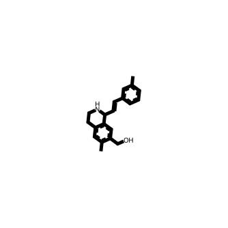 Cc1cccc(/C=C/C2NCCc3cc(C)c(CO)cc32)c1